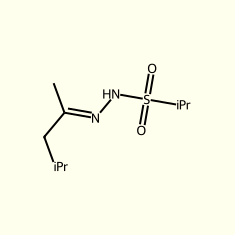 CC(CC(C)C)=NNS(=O)(=O)C(C)C